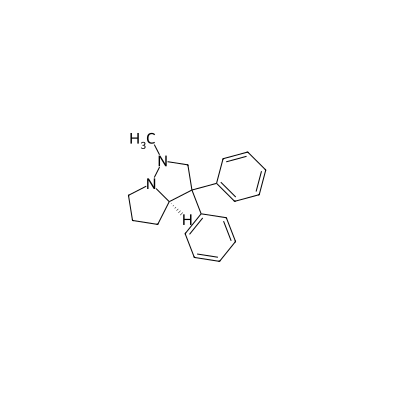 CN1CC(c2ccccc2)(c2ccccc2)[C@H]2CCCN21